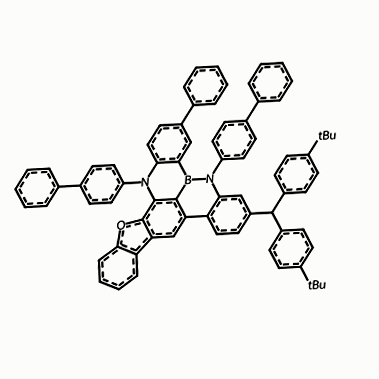 CC(C)(C)c1ccc(C(c2ccc(C(C)(C)C)cc2)c2ccc3c(c2)N(c2ccc(-c4ccccc4)cc2)B2c4cc(-c5ccccc5)ccc4N(c4ccc(-c5ccccc5)cc4)c4c2c-3cc2c4oc3ccccc32)cc1